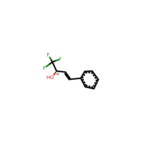 O[C@H](C=Cc1ccccc1)C(F)(F)F